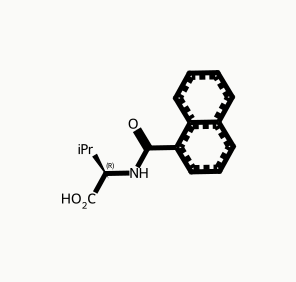 CC(C)[C@@H](NC(=O)c1cccc2ccccc12)C(=O)O